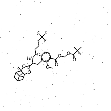 COc1c(CC(NC(=O)CCCC(F)(F)F)B2OC3CC4CC(C4(C)C)C3(C)O2)cccc1C(=O)OCOC(=O)C(C)(C)C